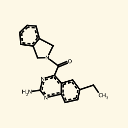 C[CH]c1ccc2nc(N)nc(C(=O)N3Cc4ccccc4C3)c2c1